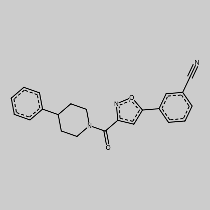 N#Cc1cccc(-c2cc(C(=O)N3CCC(c4ccccc4)CC3)no2)c1